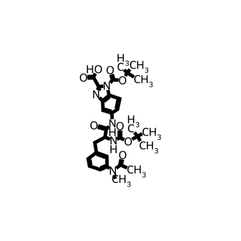 CC(=O)N(C)c1cccc(CC(NC(=O)OC(C)(C)C)C(=O)Nc2ccc3c(c2)nc(C(=O)O)n3C(=O)OC(C)(C)C)c1